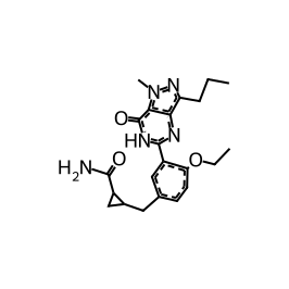 CCCc1nn(C)c2c(=O)[nH]c(-c3cc(CC4CC4C(N)=O)ccc3OCC)nc12